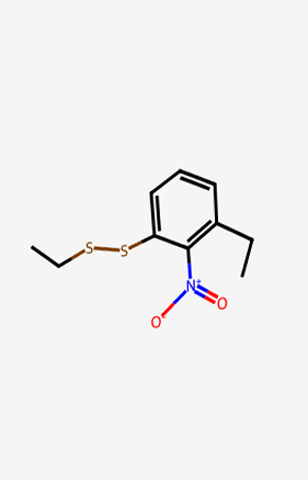 CCSSc1cccc(CC)c1[N+](=O)[O-]